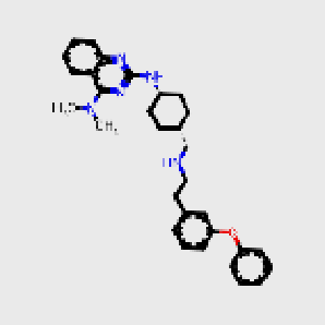 CN(C)c1nc(N[C@H]2CC[C@@H](CNCCc3cccc(Oc4ccccc4)c3)CC2)nc2ccccc12